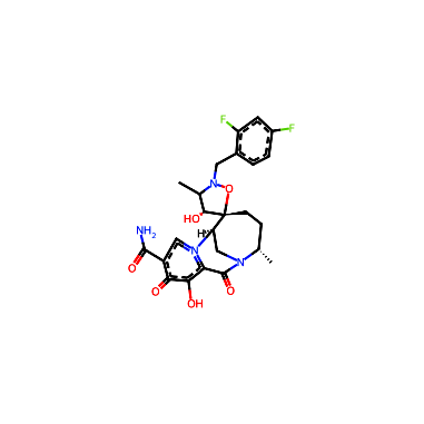 CC1[C@@H](O)[C@]2(CC[C@H](C)N3C[C@H]2n2cc(C(N)=O)c(=O)c(O)c2C3=O)ON1Cc1ccc(F)cc1F